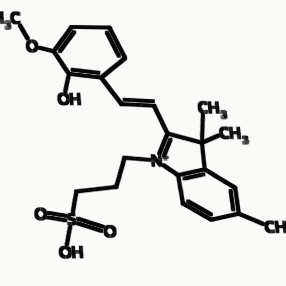 COc1cccc(/C=C/C2=[N+](CCCS(=O)(=O)O)c3ccc(C)cc3C2(C)C)c1O